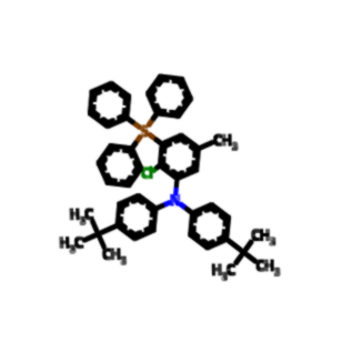 Cc1cc(N(c2ccc(C(C)(C)C)cc2)c2ccc(C(C)(C)C)cc2)c(Cl)c(S(c2ccccc2)(c2ccccc2)c2ccccc2)c1